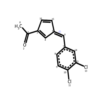 CC(=O)C1=C/C(=C\c2ccc(Cl)c(Cl)c2)C=C1